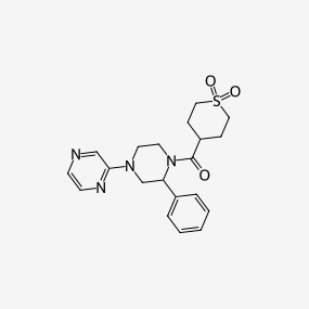 O=C(C1CCS(=O)(=O)CC1)N1CCN(c2cnccn2)CC1c1ccccc1